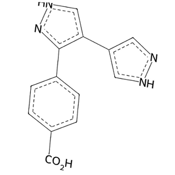 O=C(O)c1ccc(-c2n[nH]cc2-c2cn[nH]c2)cc1